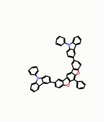 c1ccc(-c2c3oc4ccc(-c5ccc6c(c5)c5ccccc5n6-c5ccccc5)cc4c3cc3c2oc2ccc(-c4ccc5c(c4)c4ccccc4n5-c4ccccc4)cc23)cc1